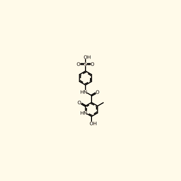 Cc1cc(O)[nH]c(=O)c1C(=O)Nc1ccc(S(=O)(=O)O)cc1